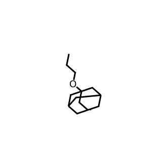 CCCOC12C[C]3CC(CC(C3)C1)C2